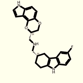 Fc1ccc2[nH]c3c(c2c1)C[C@@H](CNC[C@H]1COc2ccc4[nH]ccc4c2O1)CC3